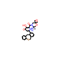 O=C1c2c(O)c(=O)cc(-c3cccc4c3Cc3ccccc3SC4)n2N[C@@H]2COC3(COC3)CN12